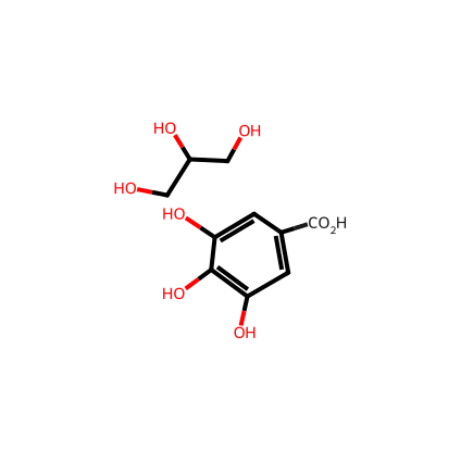 O=C(O)c1cc(O)c(O)c(O)c1.OCC(O)CO